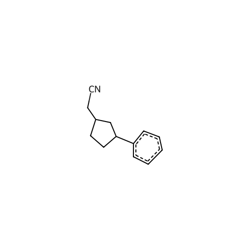 N#CCC1CCC(c2ccccc2)C1